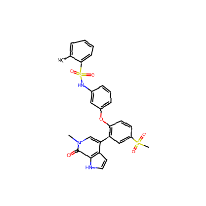 Cn1cc(-c2cc(S(C)(=O)=O)ccc2Oc2cccc(NS(=O)(=O)c3ccccc3C#N)c2)c2cc[nH]c2c1=O